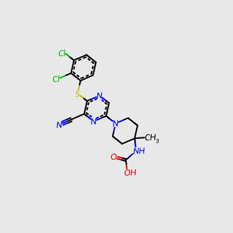 CC1(NC(=O)O)CCN(c2cnc(Sc3cccc(Cl)c3Cl)c(C#N)n2)CC1